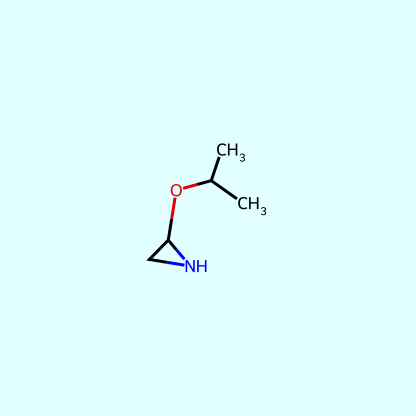 CC(C)OC1CN1